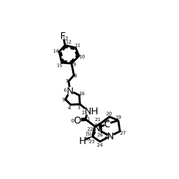 O=C(NC1CCN(CCc2ccc(F)cc2)C1)N1CC2CC3C[C@H]1CN(C3)C2